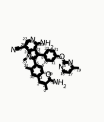 CC(=Cc1ccc(-c2c(-c3ccc(Oc4nccc(C)n4)cc3)c3c(N)ncc(C#N)c3n2C)c(C)c1)C(N)=O